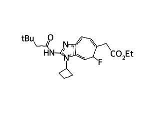 CCOC(=O)CC1=CC=c2nc(NC(=O)CC(C)(C)C)n(C3CCC3)c2=CC1F